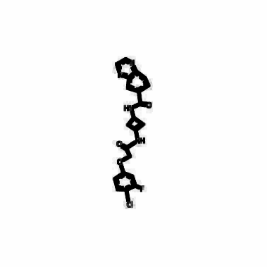 O=C(COc1ccc(Cl)c(F)c1)NC1=CC(NC(=O)c2ccc3nccnc3c2)C1